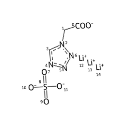 O=C([O-])Cn1cnnn1.O=S(=O)([O-])[O-].[Li+].[Li+].[Li+]